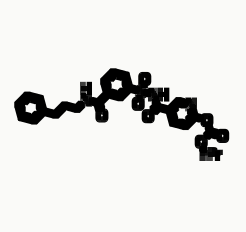 CCCOC(=O)Oc1ccc(C(=O)NS(=O)(=O)c2cccc(C(=O)NCCCc3ccccc3)c2)cn1